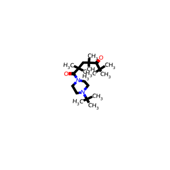 CC(C)(C)C(=O)C(C)(C)CC(C)(C)C(=O)N1CCN(C(C)(C)C)CC1